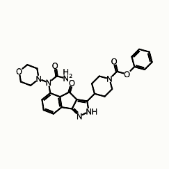 NC(=O)N(c1cccc2c1C(=O)c1c-2n[nH]c1C1CCN(C(=O)Oc2ccccc2)CC1)N1CCOCC1